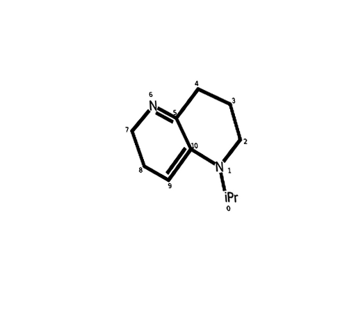 CC(C)N1CCCC2=NCCC=C21